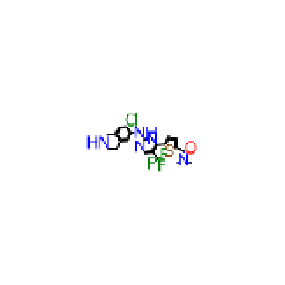 CN(C)C(=O)c1ccc(-c2nc(Nc3cc4c(cc3Cl)CNCC4)ncc2C(F)(F)F)s1